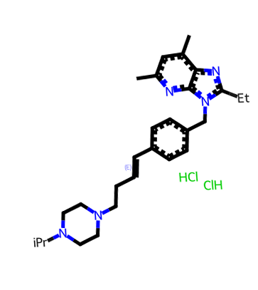 CCc1nc2c(C)cc(C)nc2n1Cc1ccc(/C=C/CCN2CCN(C(C)C)CC2)cc1.Cl.Cl